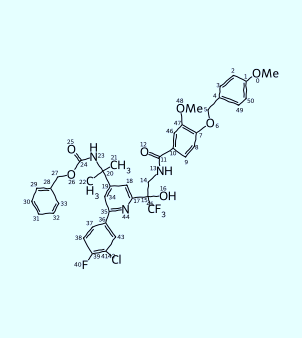 COc1ccc(COc2ccc(C(=O)NCC(O)(c3cc(C(C)(C)NC(=O)OCc4ccccc4)cc(-c4ccc(F)c(Cl)c4)n3)C(F)(F)F)cc2OC)cc1